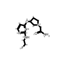 NC(=O)CN1CCC(Oc2ccnc(NCCF)n2)C1